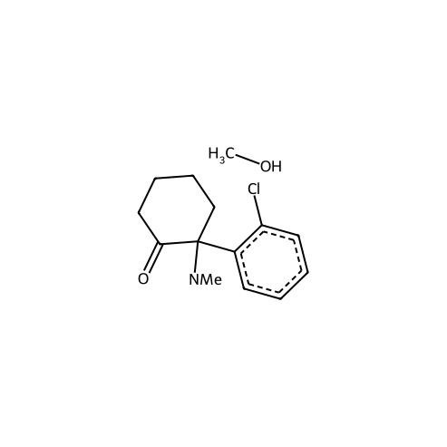 CNC1(c2ccccc2Cl)CCCCC1=O.CO